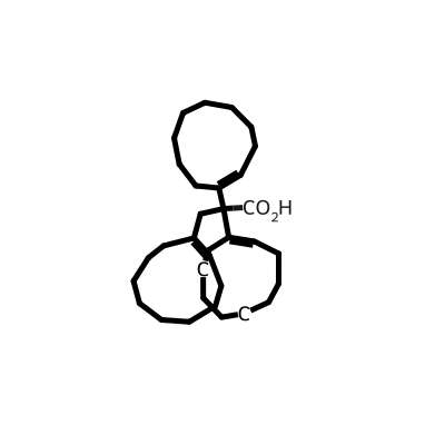 O=C(O)C(CC1=CCCCCCCCC1)(C1=CCCCCCCCC1)C1=CCCCCCCCC1